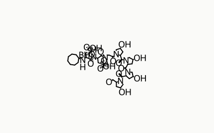 BC1(NC(CS(=O)(=O)O)C(=O)NC(CS(=O)(=O)O)C(=O)NCC(=O)N2CC(O)CC2C(=O)N2CC(O)CC2C(=O)N2CC(O)CC2C(=O)N2CC(O)CC2C=O)CCCCCCC1